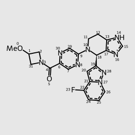 COC1CN(C(=O)c2cnc(N3CCc4[nH]cnc4[C@H]3c3cc4c(F)cccn4n3)cn2)C1